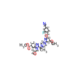 COC(=O)c1ccc2nc(C(C)N3CCN(c4cc(OC)cc(OCc5ccc(C#N)cc5F)n4)CC3)n(C[C@@H]3CCO3)c2c1